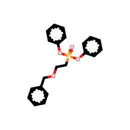 O=P(CCOCc1ccccc1)(Oc1ccccc1)Oc1ccccc1